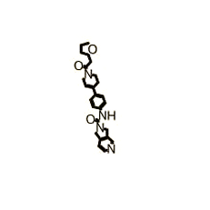 O=C(CC1CCCO1)N1CC=C(c2ccc(NC(=O)N3Cc4ccncc4C3)cc2)CC1